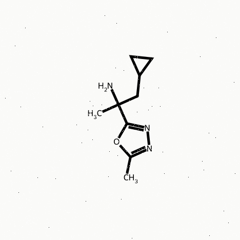 Cc1nnc(C(C)(N)CC2CC2)o1